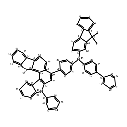 CC1(C)c2ccccc2-c2ccc(N(c3ccc(-c4ccccc4)cc3)c3ccc(-c4cc5c(c6ccccc6n5-c5ccccc5)c5c4ccc4c6ccccc6oc45)cc3)cc21